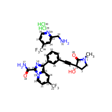 CN1CC[C@@](O)(C#Cc2cccc(-c3nc(C(N)=O)n4ccc(C(F)(F)F)cc34)c2)C1=O.Cl.Cl.NCc1cc(C(F)(F)F)ccn1